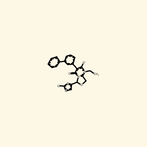 CCn1c([O-])c(-c2cccc(-c3ccccc3)c2)c(=O)[n+]2c1COC2c1cnc(Cl)s1